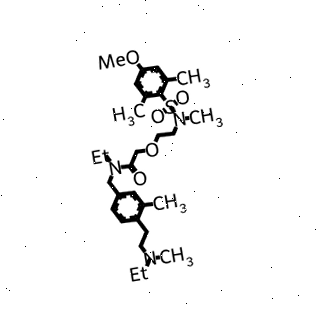 CCN(C)CCc1ccc(CN(CC)C(=O)COCCN(C)S(=O)(=O)c2c(C)cc(OC)cc2C)cc1C